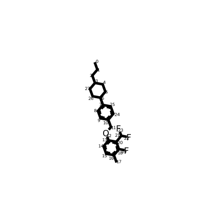 CCCC1CCC(c2ccc(COc3ccc(C)c(F)c3C(F)F)cc2)CC1